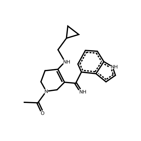 CC(=O)N1CCC(NCC2CC2)=C(C(=N)c2cccc3[nH]ccc23)C1